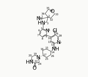 N#CC1(CNc2cccc(-c3cc(N[C@H]4CC[C@@H](N5CCNC(=O)C5)CC4)ncc3Cl)n2)CCOCC1